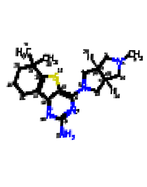 CN1C[C@@H]2CN(c3nc(N)nc4c5c(sc34)C(C)(C)CCC5)C[C@@H]2C1